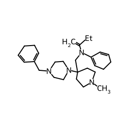 C=C(CC)N(CC1(N2CCN(CC3=CCCC=C3)CC2)CCN(C)CC1)C1=CCCC=C1